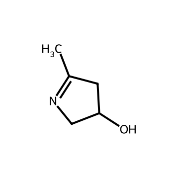 CC1=NCC(O)C1